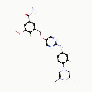 CNC(=O)c1cc(COc2cnc(Nc3ccc(N4C=C(C)N[C@@H](C)C4)c(F)c3)nc2)c(F)c(OC)c1